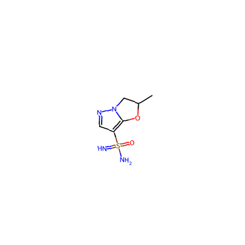 CC1Cn2ncc(S(=N)(N)=O)c2O1